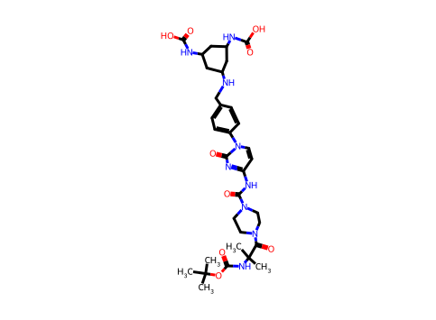 CC(C)(C)OC(=O)NC(C)(C)C(=O)N1CCN(C(=O)Nc2ccn(-c3ccc(CNC4CC(NC(=O)O)CC(NC(=O)O)C4)cc3)c(=O)n2)CC1